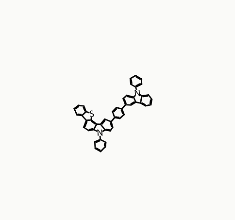 c1ccc(-n2c3ccccc3c3cc(-c4ccc(-c5ccc6c(c5)c5c7sc8ccccc8c7ccc5n6-c5ccccc5)cc4)ccc32)cc1